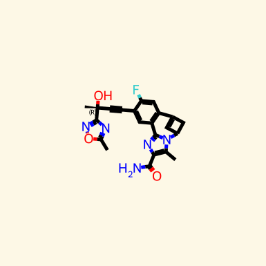 Cc1nc([C@](C)(O)C#Cc2cc3c(cc2F)C2=CC(C2)n2c-3nc(C(N)=O)c2C)no1